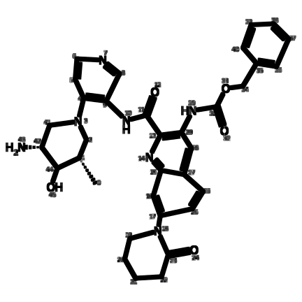 C[C@H]1CN(c2ccncc2NC(=O)c2nc3cc(N4CCCCC4=O)ccc3cc2NC(=O)OCc2ccccc2)C[C@@H](N)C1O